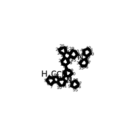 CC1(C)c2ccccc2-c2ccc3c(c21)c1cc(-c2ccc4c5ccccc5c5ccc(-n6c7ccccc7c7ccccc76)cc5c4c2)ccc1n3-c1ccccc1